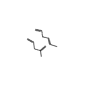 C=CCC(=C)C.C=CCC=CC